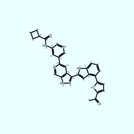 CC(=O)c1ccc(-c2cccc3[nH]c(-c4n[nH]c5cnc(-c6cncc(NC(=O)C7CCC7)c6)cc45)cc23)s1